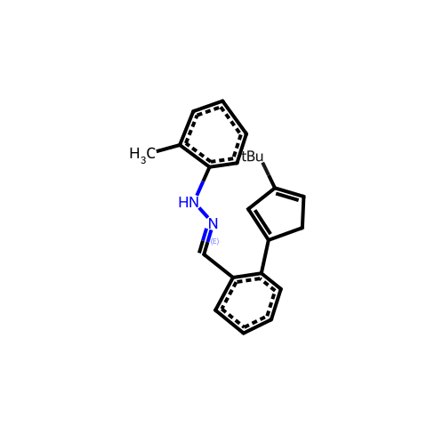 Cc1ccccc1N/N=C/c1ccccc1C1=CC(C(C)(C)C)=CC1